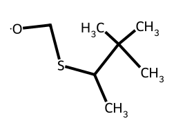 CC(SC[O])C(C)(C)C